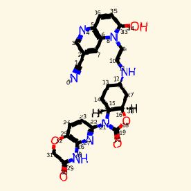 N#Cc1cnc2c(c1)N(CCN[C@@H]1CC[C@@H]3[C@@H](C1)OC(=O)N3c1ccc3c(n1)NC(=O)CO3)C(O)C=C2